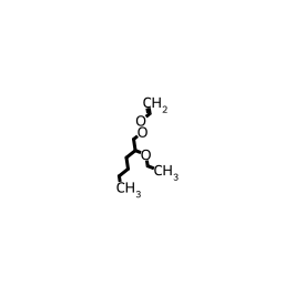 C=COOCC(CCCC)OCC